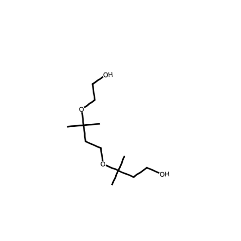 CC(C)(CCO)OCCC(C)(C)OCCO